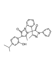 CC1=NN(c2ccccc2)C(=O)C12c1ccccc1-n1c(=O)c(-c3ccc(C(C)C)cc3O)c(C)n12